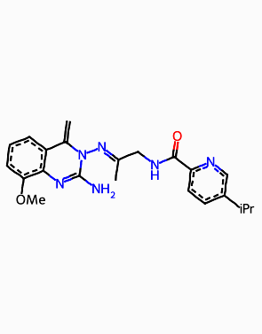 C=C1c2cccc(OC)c2N=C(N)N1/N=C(\C)CNC(=O)c1ccc(C(C)C)cn1